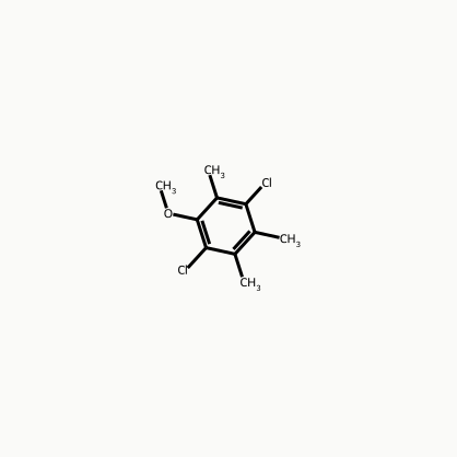 COc1c(C)c(Cl)c(C)c(C)c1Cl